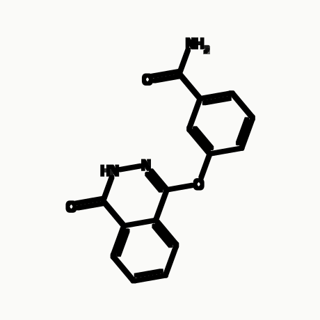 NC(=O)c1cccc(Oc2n[nH]c(=O)c3ccccc23)c1